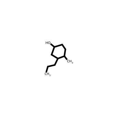 CCCC1CC(O)CCC1C